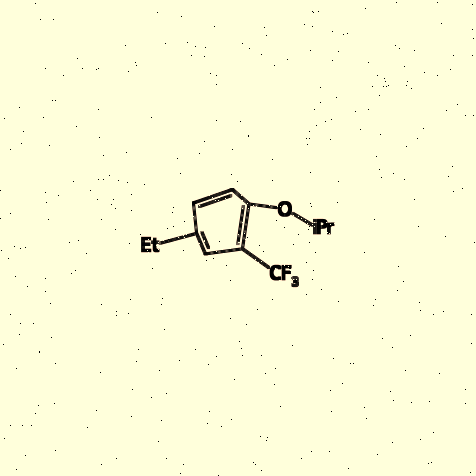 CCc1ccc(OC(C)C)c(C(F)(F)F)c1